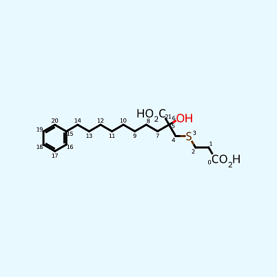 O=C(O)CCSCC(O)(CCCCCCCCc1ccccc1)C(=O)O